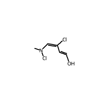 CN(Cl)/C=C(Cl)\C=C\O